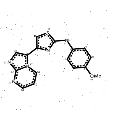 COc1ccc(Nc2nc(-c3cnc4ncccn34)cs2)cc1